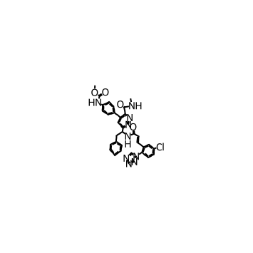 CNC(=O)c1nnc(C(Cc2ccccc2)NC(=O)/C=C/c2cc(Cl)ccc2-n2cnnn2)cc1-c1ccc(NC(=O)OC)cc1